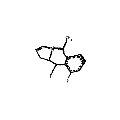 CC1c2cccc(F)c2C(F)C2CC=CN12